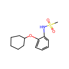 CS(=O)(=O)Nc1ccccc1OC1CCCCC1